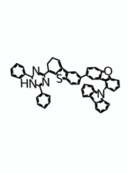 C1=c2c(sc3ccc(-c4ccc5oc6cccc(-n7c8ccccc8c8ccccc87)c6c5c4)cc23)=C(C2=NC(c3ccccc3)NC(c3ccccc3)=N2)CC1